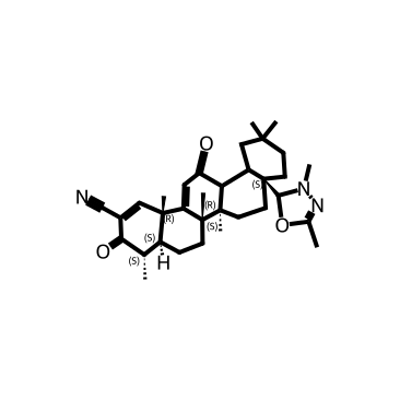 CC1=NN(C)C([C@]23CCC(C)(C)CC2C2C(=O)C=C4[C@@]5(C)C=C(C#N)C(=O)[C@@H](C)[C@@H]5CC[C@@]4(C)[C@]2(C)CC3)O1